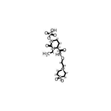 CCN1C(=O)N(OS(=O)(=O)O)CC[C@H]1C(=O)NOCCN1CCS(=O)(=O)CC1